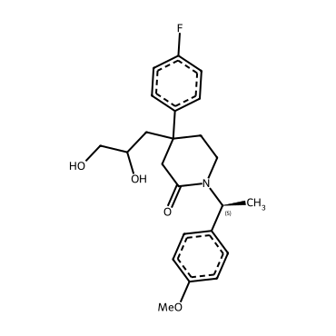 COc1ccc([C@H](C)N2CCC(CC(O)CO)(c3ccc(F)cc3)CC2=O)cc1